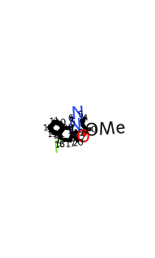 COC(=O)c1cncn1[C@@H]1c2ccccc2[C@@H](F)CC1(C)C